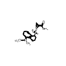 CN(C)c1cccc2c(S(=O)(=O)N3CC3C(N)=O)cccc12